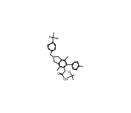 Cc1ccc(-c2c(C)c3c(c(C)c2[C@H](OC(C)(C)C)C(=O)O)CN(Cc2ccc(C(F)(F)F)cc2)C3)cc1